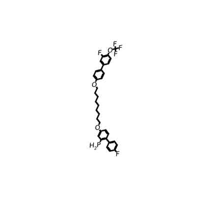 Fc1ccc(-c2ccc(OCCCCCCCCCOc3ccc(-c4ccc(OC(F)(F)F)c(F)c4)cc3)cc2P)cc1